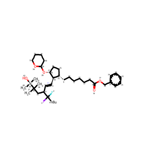 CCCCC(F)(I)C(/C=C/[C@@H]1[C@@H](CCCCCCC(=O)OCc2ccccc2)CC[C@H]1OC1CCCCO1)CC(C)(C)[Si](C)(C)O